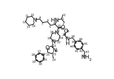 CC(C)NC(CCCCN1CCCCC1)C(=O)N1CCN(C2=N[C@@H](C)[C@H](c3ccccc3)O2)C[C@H]1C(=O)NCc1ccc(CN)cc1